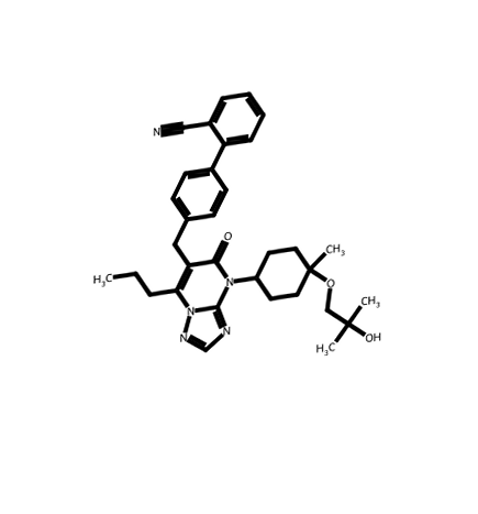 CCCc1c(Cc2ccc(-c3ccccc3C#N)cc2)c(=O)n(C2CCC(C)(OCC(C)(C)O)CC2)c2ncnn12